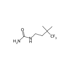 CC(C)(CCNC(N)=O)C(F)(F)F